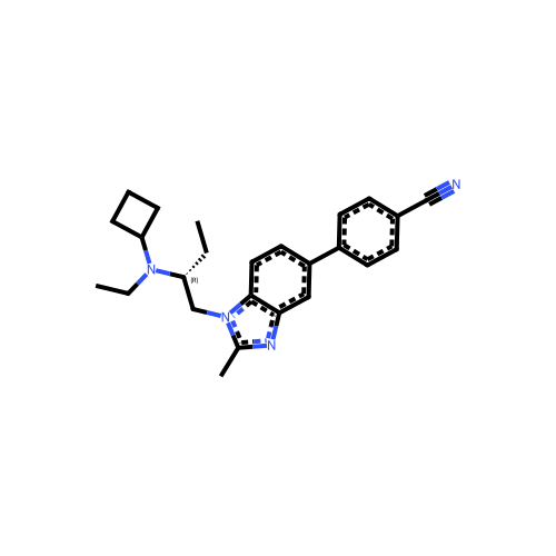 CC[C@H](Cn1c(C)nc2cc(-c3ccc(C#N)cc3)ccc21)N(CC)C1CCC1